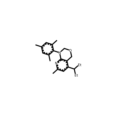 CCC(CC)c1cc(C)nc2c1COCN2c1c(C)cc(C)cc1C